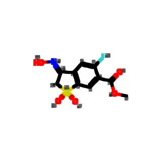 COC(=O)c1cc2c(cc1F)/C(=N/O)CS2(=O)=O